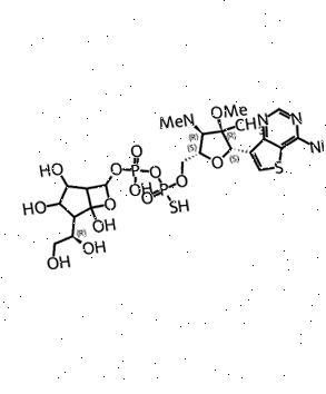 CN[C@@H]1[C@@H](COP(=O)(S)OP(=O)(O)OC2OC3(O)C2C(O)C(O)C3[C@@H](O)CO)O[C@@H](c2csc3c(N)ncnc23)[C@]1(C)OC